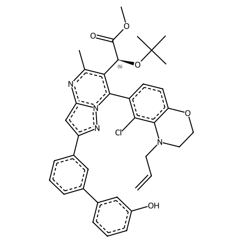 C=CCN1CCOc2ccc(-c3c([C@H](OC(C)(C)C)C(=O)OC)c(C)nc4cc(-c5cccc(-c6cccc(O)c6)c5)nn34)c(Cl)c21